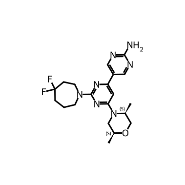 C[C@H]1CN(c2cc(-c3cnc(N)nc3)nc(N3CCCC(F)(F)CC3)n2)[C@@H](C)CO1